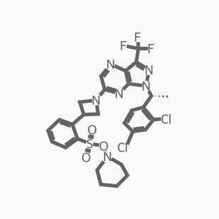 C[C@H](c1ccc(Cl)cc1Cl)n1nc(C(F)(F)F)c2ncc(N3CC(c4ccccc4S(=O)(=O)ON4CCCCC4)C3)nc21